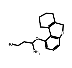 NC(CCO)Oc1cccc2c1C1=C(CCCC1)CO2